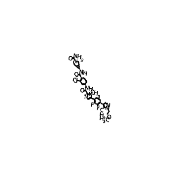 COCCn1ncc(-c2ccc(-c3cnc(C(=O)Nc4ccc(C(=O)NC5C6CN(C(N)=O)CC65)c(Cl)c4)n3C)c(F)c2F)c1C